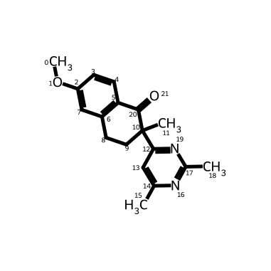 COc1ccc2c(c1)CCC(C)(c1cc(C)nc(C)n1)C2=O